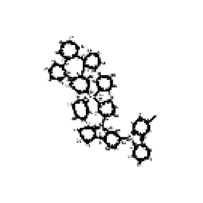 Cc1ccc2c(c1)c1ccccc1n2-c1ccc2c3ccccc3n(-c3cccc([Si](c4ccccc4)(c4ccccc4)c4ccc5c(c4)-c4ccccc4-c4ccccc4-c4ccccc4-5)c3)c2c1